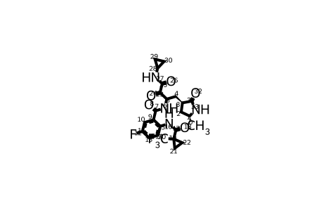 C[C@@H]1C[C@@H](CC(NC(=O)c2cc(F)ccc2NC(=O)C2(C(F)(F)F)CC2)C(=O)C(=O)NC2CC2)C(=O)N1